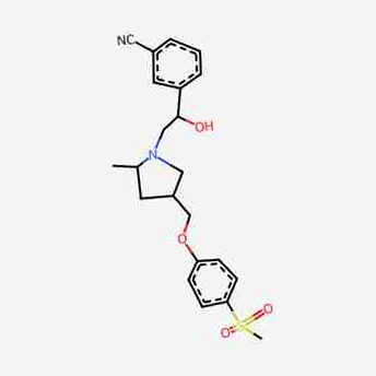 CC1CC(COc2ccc(S(C)(=O)=O)cc2)CN1CC(O)c1cccc(C#N)c1